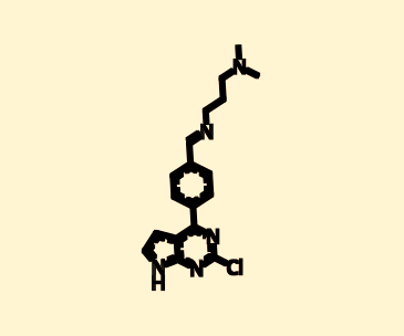 CN(C)CCCN=Cc1ccc(-c2nc(Cl)nc3[nH]ccc23)cc1